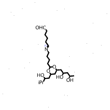 CC(O)CC(O)CC1CC(CC(O)C(C)C)OC(CCCC/N=C/CCCCC=O)O1